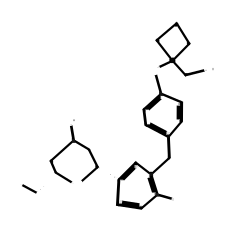 OC[C@@H]1CC(O)C[C@H](c2ccc(Cl)c(Cc3ccc(OC4(CO)CCC4)cc3)c2)O1